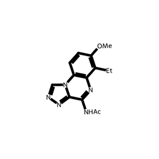 CCc1c(OC)ccc2c1nc(NC(C)=O)c1nncn12